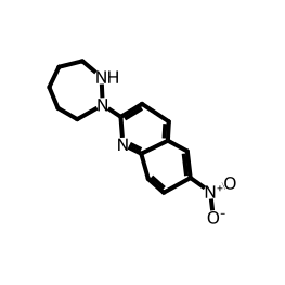 O=[N+]([O-])c1ccc2nc(N3CCCCCN3)ccc2c1